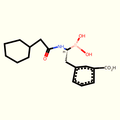 O=C(CC1CCCCC1)N[C@@H](Cc1cccc(C(=O)O)c1)B(O)O